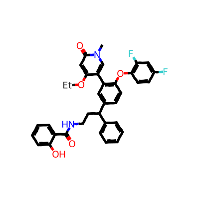 CCOc1cc(=O)n(C)cc1-c1cc(C(CCNC(=O)c2ccccc2O)c2ccccc2)ccc1Oc1ccc(F)cc1F